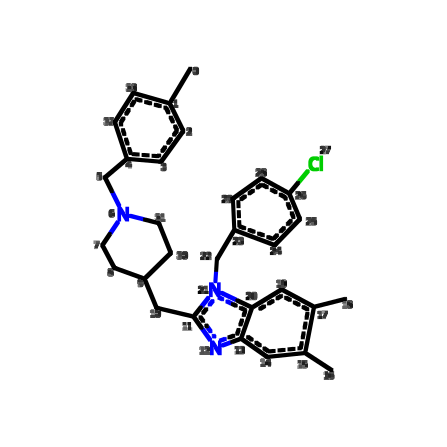 Cc1ccc(CN2CCC(Cc3nc4cc(C)c(C)cc4n3Cc3ccc(Cl)cc3)CC2)cc1